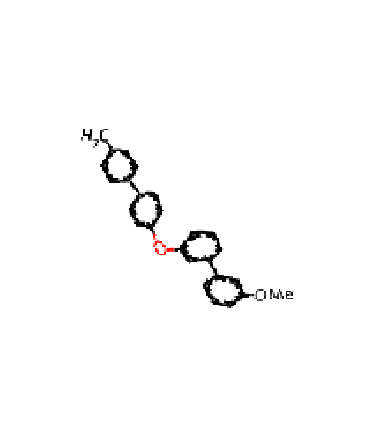 COc1cccc(-c2cccc(Oc3ccc(-c4ccc(C)cc4)cc3)c2)c1